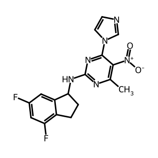 Cc1nc(NC2CCc3c(F)cc(F)cc32)nc(-n2ccnc2)c1[N+](=O)[O-]